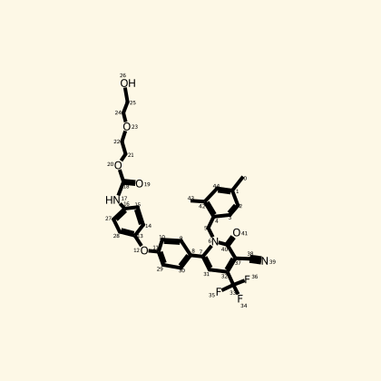 Cc1ccc(Cn2c(-c3ccc(Oc4ccc(NC(=O)OCCOCCO)cc4)cc3)cc(C(F)(F)F)c(C#N)c2=O)c(C)c1